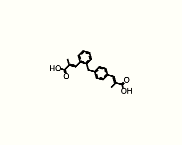 C/C(=C\c1ccc(Cc2ccccc2/C=C(\C)C(=O)O)cc1)C(=O)O